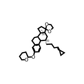 C[C@]12C[C@H](CCCC=C3CC3)C3c4ccc(OC5CCCCO5)cc4CCC3C1CCC21OCCO1